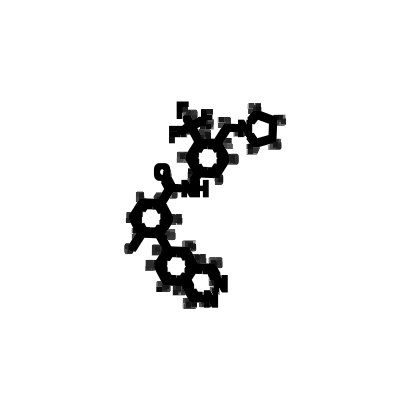 Cc1ccc(C(=O)Nc2ccc(CN3CCCC3)c(C(F)(F)F)c2)cc1-c1ccc2cnncc2c1